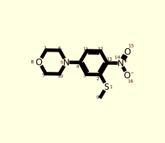 CSc1cc(N2CCOCC2)ccc1[N+](=O)[O-]